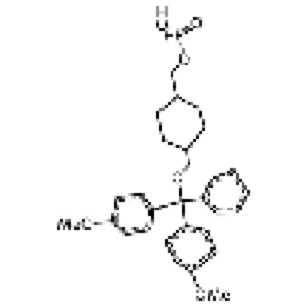 COc1ccc(C(OCC2CCC(CO[PH](=O)O)CC2)(c2ccccc2)c2ccc(OC)cc2)cc1